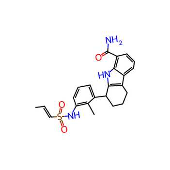 CC=CS(=O)(=O)Nc1cccc(C2CCCc3c2[nH]c2c(C(N)=O)cccc32)c1C